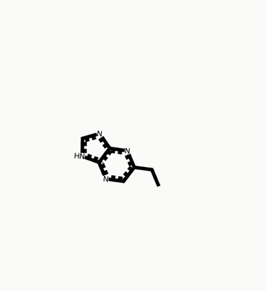 CCc1cnc2[nH]cnc2n1